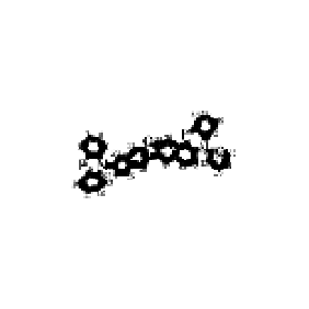 Fc1ccccc1N(c1ccccc1)c1ccc2cc3c(cc2c1)oc1cc2cc(N(c4ccccc4)c4ccccc4F)ccc2cc13